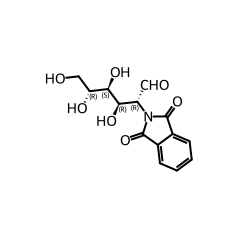 O=C[C@@H]([C@@H](O)[C@H](O)[C@H](O)CO)N1C(=O)c2ccccc2C1=O